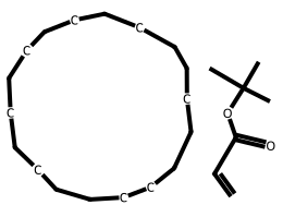 C1CCCCCCCCCCCCCCCCC1.C=CC(=O)OC(C)(C)C